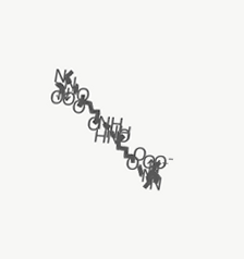 Cc1ncc([N+](=O)[O-])n1CCOC(=O)CCCC(=O)NCNNC(=O)CCCC(=O)OCCn1c([N+](=O)[O-])cnc1C